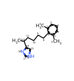 Cc1cccc(C)c1CCCCC(C)c1c[nH]cn1